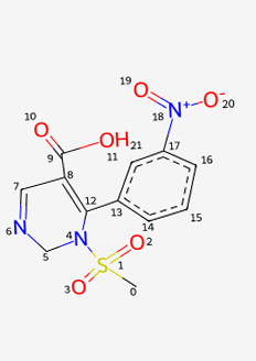 CS(=O)(=O)N1CN=CC(C(=O)O)=C1c1cccc([N+](=O)[O-])c1